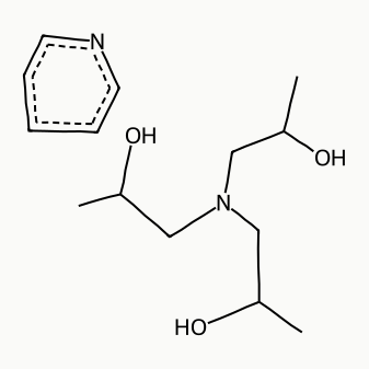 CC(O)CN(CC(C)O)CC(C)O.c1ccncc1